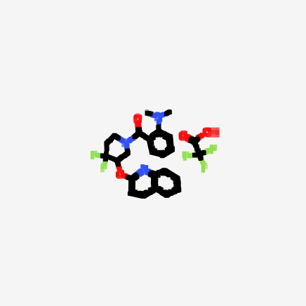 CN(C)c1ccccc1C(=O)N1CCC(F)(F)C(Oc2ccc3ccccc3n2)C1.O=C(O)C(F)(F)F